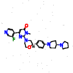 Cn1c(N2CCO[C@@H](c3ccc(N4CCC(N5CCCC5)CC4)cc3)C2)nc(-c2ccncc2F)cc1=O